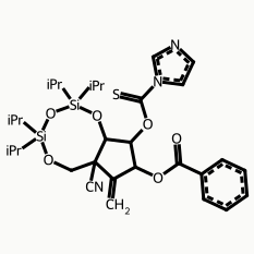 C=C1C(OC(=O)c2ccccc2)C(OC(=S)n2ccnc2)C2O[Si](C(C)C)(C(C)C)O[Si](C(C)C)(C(C)C)OCC12C#N